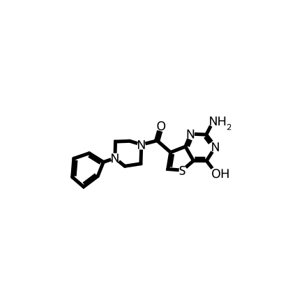 Nc1nc(O)c2scc(C(=O)N3CCN(c4ccccc4)CC3)c2n1